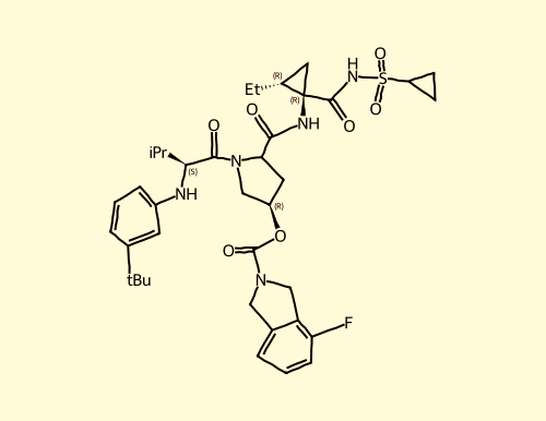 CC[C@@H]1C[C@]1(NC(=O)C1C[C@@H](OC(=O)N2Cc3cccc(F)c3C2)CN1C(=O)[C@@H](Nc1cccc(C(C)(C)C)c1)C(C)C)C(=O)NS(=O)(=O)C1CC1